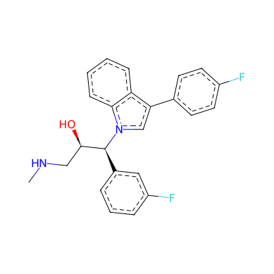 CNC[C@@H](O)[C@H](c1cccc(F)c1)n1cc(-c2ccc(F)cc2)c2ccccc21